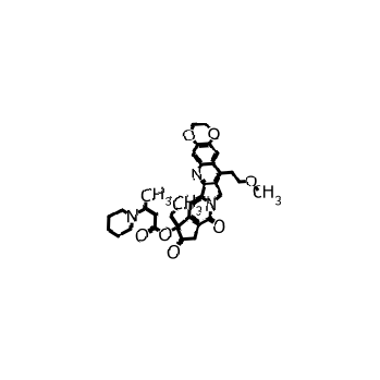 CCC1(OC(=O)CC(C)N2CCCCC2)C(=O)Cc2c1cc1n(c2=O)Cc2c-1nc1cc3c(cc1c2CCOC)OCCO3